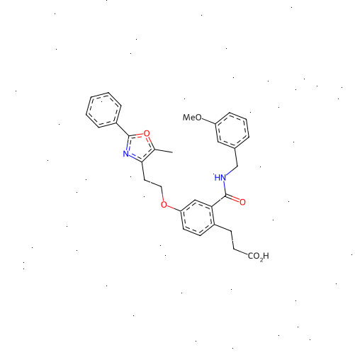 COc1cccc(CNC(=O)c2cc(OCCc3nc(-c4ccccc4)oc3C)ccc2CCC(=O)O)c1